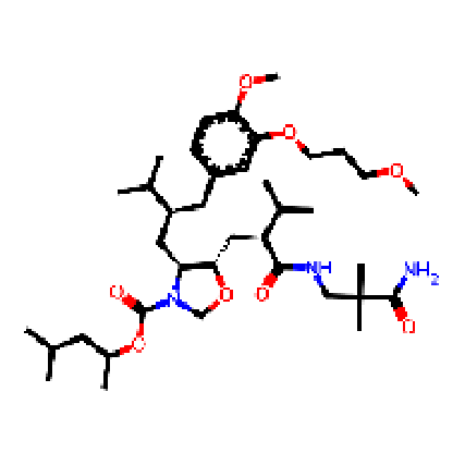 COCCCOc1cc(C[C@@H](C[C@H]2[C@H](C[C@H](C(=O)NCC(C)(C)C(N)=O)C(C)C)OCN2C(=O)OC(C)C[C](C)C)C(C)C)ccc1OC